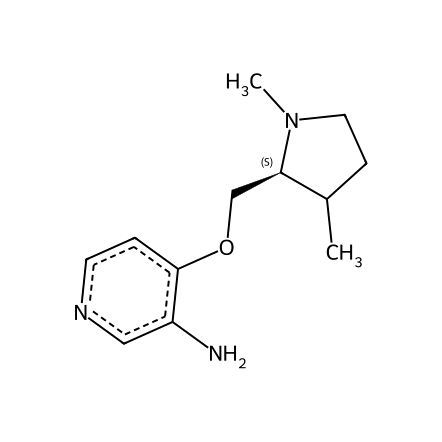 CC1CCN(C)[C@@H]1COc1ccncc1N